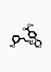 COc1cccc(CCNC[C@@H]2COCCN2c2ccc(C(=O)O)cc2)c1